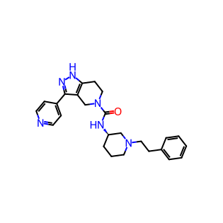 O=C(N[C@@H]1CCCN(CCc2ccccc2)C1)N1CCc2[nH]nc(-c3ccncc3)c2C1